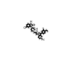 CC(=O)N1CCc2c(c(-c3ccc(CI)c(C)c3)nn2C[C@@H](O)CN2CCC(n3c(=O)[nH]c4ccc(Cl)cc43)CC2)C1